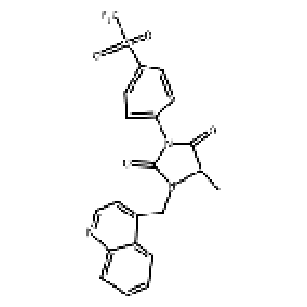 CC1C(=O)N(c2ccc(S(=O)(=O)C(F)(F)F)cc2)C(=O)N1Cc1ccnc2ccccc12